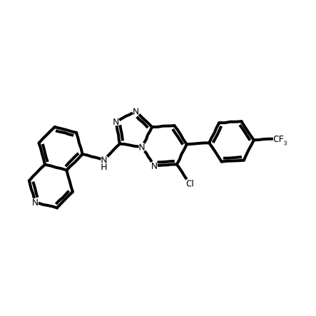 FC(F)(F)c1ccc(-c2cc3nnc(Nc4cccc5cnccc45)n3nc2Cl)cc1